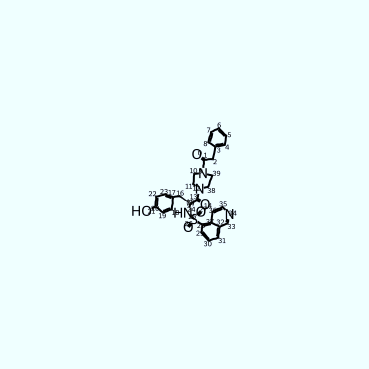 O=C(Cc1ccccc1)N1CCN(C(=O)[C@H](Cc2ccc(O)cc2)NS(=O)(=O)c2cccc3cnccc23)CC1